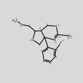 COCC1OCC2(c3ccccc3F)N=C(N)SCC12